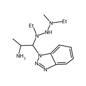 CCN(C)NN(CC)C(C(C)N)n1nnc2ccccc21